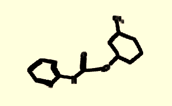 CC1CCCC(OC(=O)Nc2ccccc2)C1